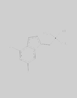 CC(C)(O)Cn1ccc2c(Cl)nc(Cl)cc21